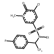 CCN(C(c1ccc(F)cc1)C(F)(F)F)S(=O)(=O)c1cc(Cl)c(=O)n(C)c1